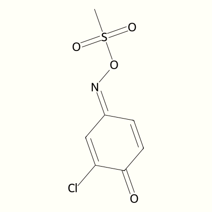 CS(=O)(=O)ON=C1C=CC(=O)C(Cl)=C1